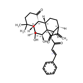 C=C1C(=O)[C@]23[C@H](OC(=O)/C=C/c4ccccc4)[C@H]1CC[C@H]2[C@@]12CO[C@]3(O)[C@@H](O)[C@@H]1C(C)(C)CCC2=O